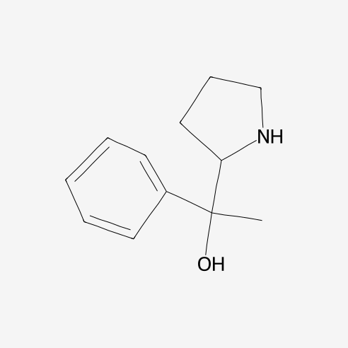 CC(O)(c1ccccc1)C1CCCN1